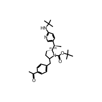 CC(=O)c1ccc(CC2CC[C@H]([C@H](C)c3ccc(NC(C)(C)C)nc3)N2C(=O)OC(C)(C)C)cc1